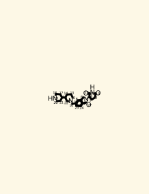 O=C1CCC(N2Cc3cc(CN4CCCC(C5CCNCC5)C4)ccc3C2=O)C(=O)N1